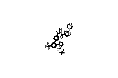 C[C@@H](NC(=O)c1ccnc(N2CCOCC2)n1)c1ccc(-c2cc(C(F)(F)F)ccc2C2CCCN2C(=O)OC(C)(C)C)cc1